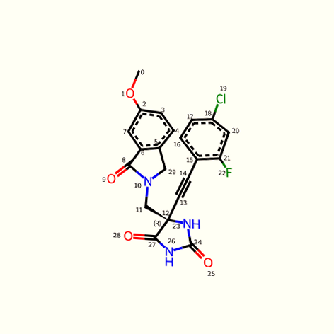 COc1ccc2c(c1)C(=O)N(C[C@@]1(C#Cc3ccc(Cl)cc3F)NC(=O)NC1=O)C2